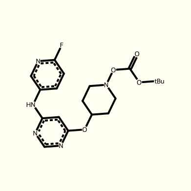 CC(C)(C)OC(=O)ON1CCC(Oc2cc(Nc3ccc(F)nc3)ncn2)CC1